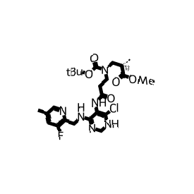 COC(=O)[C@@H](C)CN(CCC(=O)NC1=C(Cl)NCN=C1NCc1ncc(C)cc1F)C(=O)OC(C)(C)C